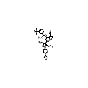 Cc1nn(C2CCN(C3COC3)CC2)c(C)c1-c1cc(O[C@@H](C)c2cncc(C(F)(F)F)c2)c2c(C#N)cnn2c1